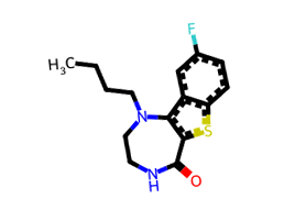 CCCCN1CCNC(=O)c2sc3ccc(F)cc3c21